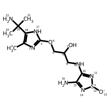 Cc1nc(OCC(O)CNc2n[s+]([O-])nc2N)[nH]c1C(C)(C)N